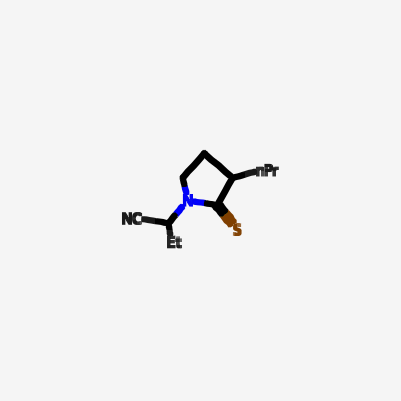 CCCC1CCN(C(C#N)CC)C1=S